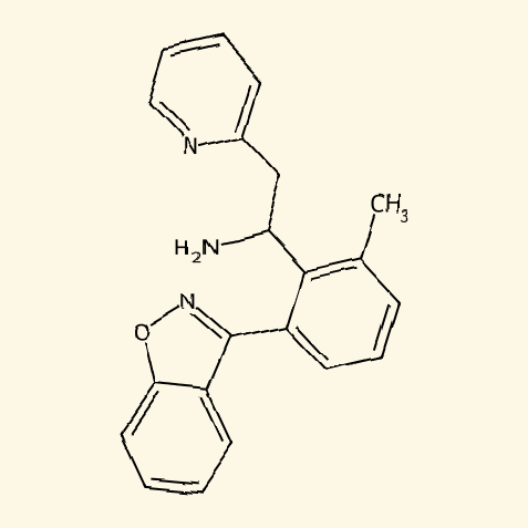 Cc1cccc(-c2noc3ccccc23)c1C(N)Cc1ccccn1